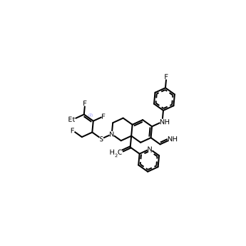 C=C(c1ccccn1)C12CC(C=N)=C(Nc3ccc(F)cc3)C=C1CCN(SC(CF)/C(F)=C(/F)CC)C2